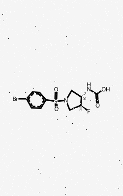 O=C(O)N[C@H]1CN(S(=O)(=O)c2ccc(Br)cc2)C[C@@H]1F